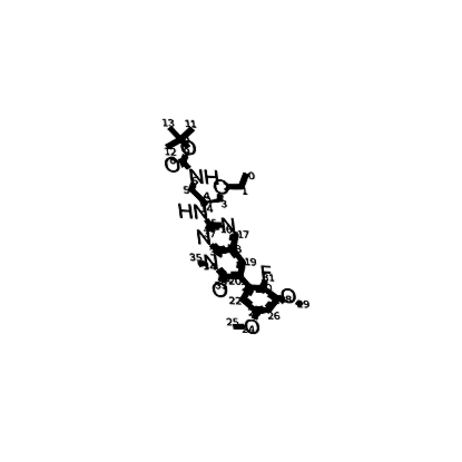 CCOC[C@H](CNC(=O)OC(C)(C)C)Nc1ncc2cc(-c3cc(OC)cc(OC)c3F)c(=O)n(C)c2n1